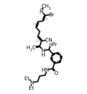 C=N/C(Br)=C\C=C/C/C=C(\C#N)C(=C)NC(CCC)c1cccc(C(=O)NCCCN(CC)CC)c1